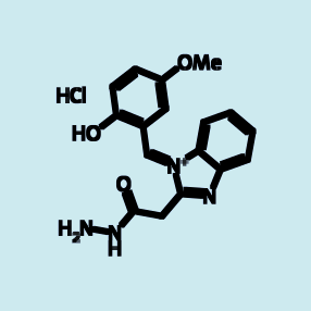 COc1ccc(O)c(C=[N+]2C(CC(=O)NN)=Nc3ccccc32)c1.Cl